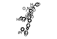 CC(C)c1ccccc1[C@H]1COCCN1C1CC2(CCN(c3ccc(C(=O)NS(=O)(=O)c4cc([N+](=O)[O-])c5c(n4)OC[C@H](CC4CCOCC4)N5)c(Oc4cnc5[nH]ccc5c4)c3)CC2)C1